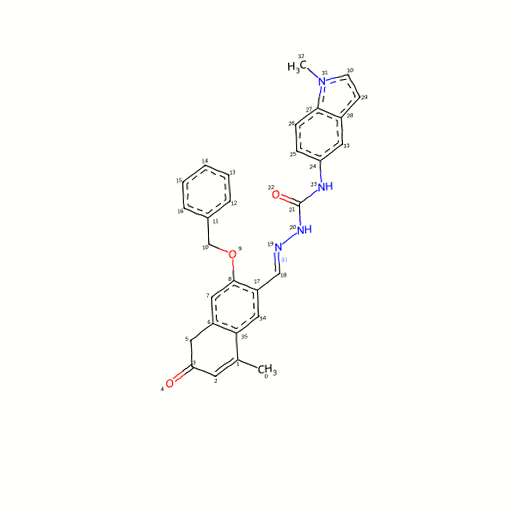 CC1=CC(=O)Cc2cc(OCc3ccccc3)c(/C=N/NC(=O)Nc3ccc4c(ccn4C)c3)cc21